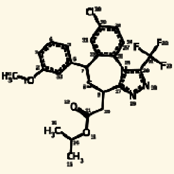 COc1cccc(C2SC(CC(=O)OC(C)C)c3nnc(C(F)(F)F)n3-c3ccc(Cl)cc32)c1